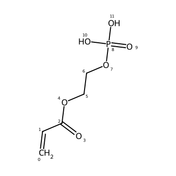 C=CC(=O)OCCOP(=O)(O)O